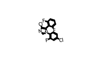 Fc1cc(Cl)ccc1-n1cnc(Cl)c1-c1c(F)cccc1F